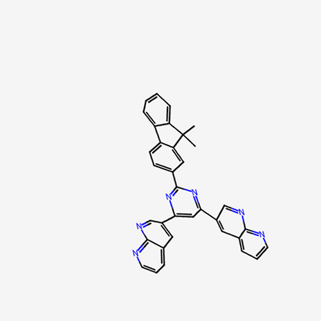 CC1(C)c2ccccc2-c2ccc(-c3nc(-c4cnc5ncccc5c4)cc(-c4cnc5ncccc5c4)n3)cc21